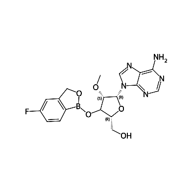 CO[C@H]1C(OB2OCc3cc(F)ccc32)[C@@H](CO)O[C@H]1n1cnc2c(N)ncnc21